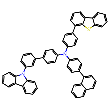 c1cc(-c2ccc(N(c3ccc(-c4cccc5ccccc45)cc3)c3ccc(-c4cccc5c4sc4ccccc45)cc3)cc2)cc(-n2c3ccccc3c3ccccc32)c1